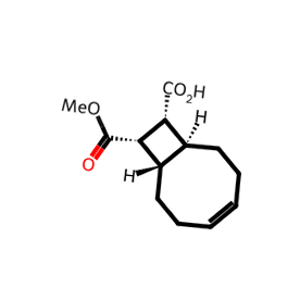 COC(=O)[C@H]1[C@H]2CC/C=C\CC[C@@H]2[C@H]1C(=O)O